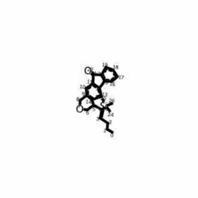 CCC/C=C(/C1COCc2cc3c(cc21)-c1ccccc1C3=O)[Si](C)(C)C